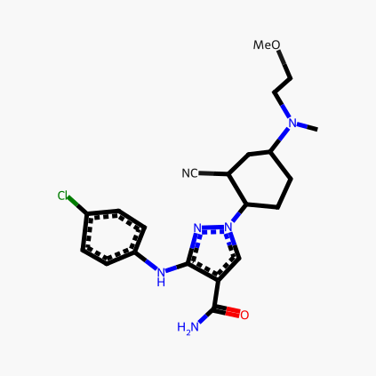 COCCN(C)C1CCC(n2cc(C(N)=O)c(Nc3ccc(Cl)cc3)n2)C(C#N)C1